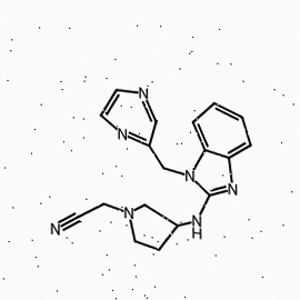 N#CCN1CCC(Nc2nc3ccccc3n2Cc2cnccn2)C1